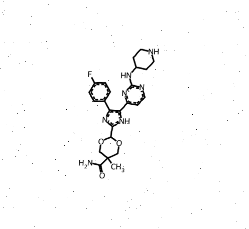 CC1(C(N)=O)COC(c2nc(-c3ccc(F)cc3)c(-c3ccnc(NC4CCNCC4)n3)[nH]2)OC1